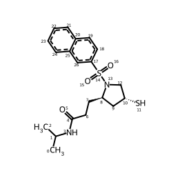 CC(C)NC(=O)CC[C@@H]1C[C@@H](S)CN1S(=O)(=O)c1ccc2ccccc2c1